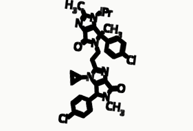 Cc1nc2c(n1C(C)C)C(C)(c1ccc(Cl)cc1)N(CCc1nc3c(n1C1CC1)C(c1ccc(Cl)cc1)N(C)C3=O)C2=O